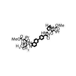 COC(=O)N[C@H](C(=O)N1C[Si](C)(C)C[C@H]1c1nc2ccc3cc(-c4ccc(-c5[nH]c([C@@H]6C[C@H]7C[C@H]7N6C(=O)[C@@H](NC(=O)OC)C(C)C)nc5Cl)cc4)ccc3c2[nH]1)C(C)C